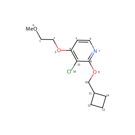 COCCOc1ccnc(OCC2CCC2)c1Cl